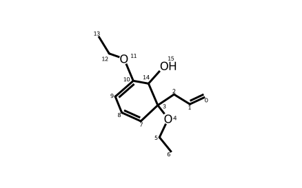 C=CCC1(OCC)C=CC=C(OCC)C1O